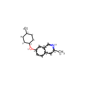 CCC1CCC(Oc2ccc3cc(C)ncc3c2)CC1